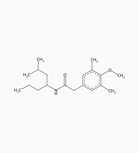 CCCC(CC(C)C)NC(=O)Cc1cc(C)c(OC)c(C)c1